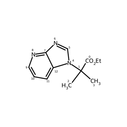 CCOC(=O)C(C)(C)n1cnc2ncccc21